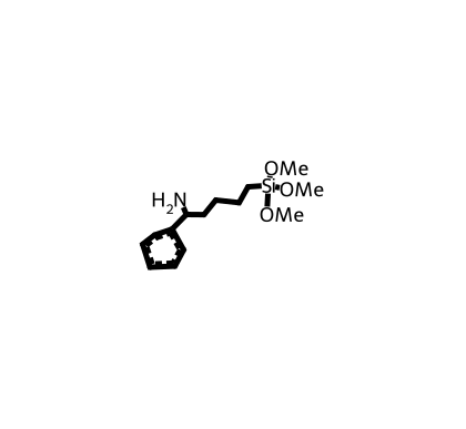 CO[Si](CCCCC(N)c1ccccc1)(OC)OC